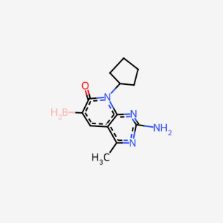 Bc1cc2c(C)nc(N)nc2n(C2CCCC2)c1=O